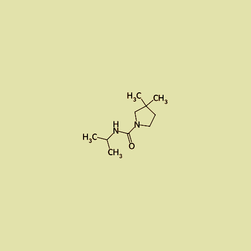 CC(C)NC(=O)N1CCC(C)(C)C1